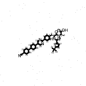 C[C@@H](NC(=O)[C@H](Cc1ccc(-c2ncc(-c3ccc(-c4ccc(C#N)cc4)cc3)cn2)cc1)NC(=O)c1ccc(C(C)(C)C)s1)C(=O)O